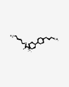 CCCCCOC(=O)C1(C)CCC(C2CCC(CCCC)CC2)CC1